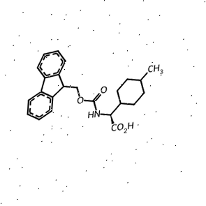 CC1CCC([C@H](NC(=O)OCC2c3ccccc3-c3ccccc32)C(=O)O)CC1